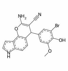 COc1cc(C2C(C#N)=C(N)Oc3c2ccc2[nH]ccc32)cc(Br)c1O